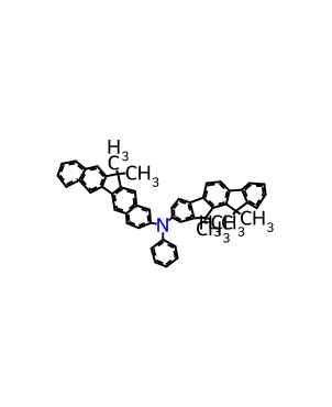 CC1(C)c2cc3ccccc3cc2-c2cc3ccc(N(c4ccccc4)c4ccc5c(c4)C(C)(C)c4c-5ccc5c4C(C)(C)c4ccccc4-5)cc3cc21